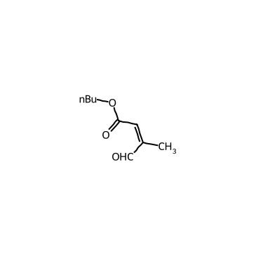 CCCCOC(=O)/C=C(/C)C=O